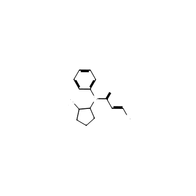 NC1CCCC1N(C(=O)C=CBr)c1ccccc1